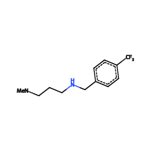 CNCCCNCc1ccc(C(F)(F)F)cc1